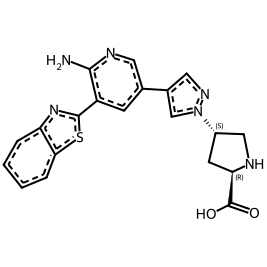 Nc1ncc(-c2cnn([C@@H]3CN[C@@H](C(=O)O)C3)c2)cc1-c1nc2ccccc2s1